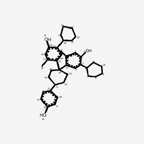 Cc1cc(O)c(C2CCCCC2)cc1C1(c2cc(C3CCCCC3)c(O)cc2C)CCC(c2ccc(O)cc2)CC1